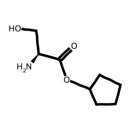 N[C@@H](CO)C(=O)OC1CCCC1